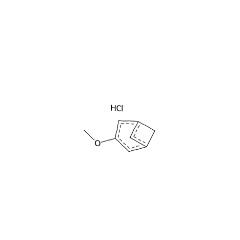 COc1cc2cc(c1)C2.Cl